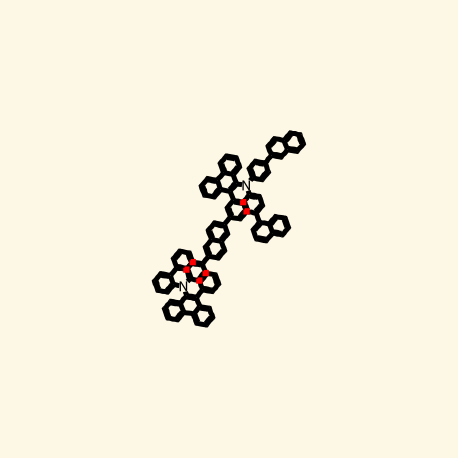 c1ccc(-c2ccccc2N(c2ccc(-c3ccc4cc(-c5cccc(-c6c(N(c7ccc(-c8ccc9ccccc9c8)cc7)c7ccc(-c8cccc9ccccc89)cc7)c7ccccc7c7ccccc67)c5)ccc4c3)cc2)c2c(-c3ccccc3)c3ccccc3c3ccccc23)cc1